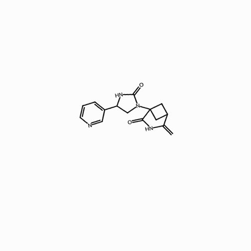 C=C1NC(=O)C2(N3CC(c4cccnc4)NC3=O)CC1C2